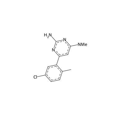 CNc1cc(-c2cc(Cl)ccc2C)nc(N)n1